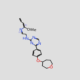 C=C/C=C(\N=C/CNc1ncnc(-c2ccc(OC3CCCOCC3)cc2)n1)OC